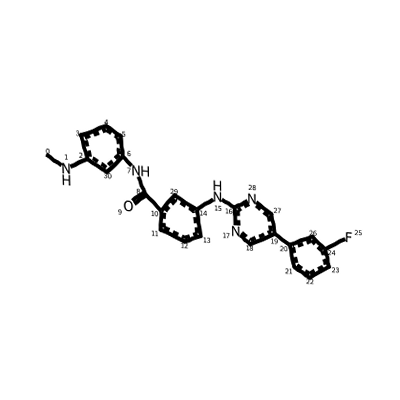 CNc1cccc(NC(=O)c2cccc(Nc3ncc(-c4cccc(F)c4)cn3)c2)c1